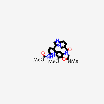 CNC(=O)CN(C(=O)c1ccc2ncc(-c3ccc(NC(=O)OC)nc3)n2c1)c1cccc(OC)c1